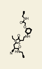 C#CCNC(=O)COc1cccc(NCCC2SC(CC(C#N)C(=O)NCC#C)N(CC)C2=O)c1